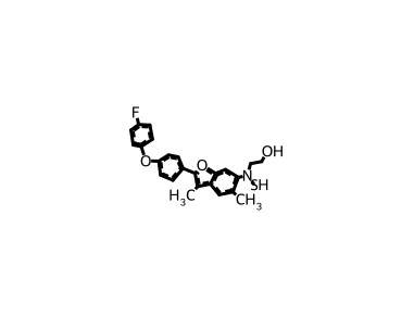 Cc1cc2c(C)c(-c3ccc(Oc4ccc(F)cc4)cc3)oc2cc1N(S)CCO